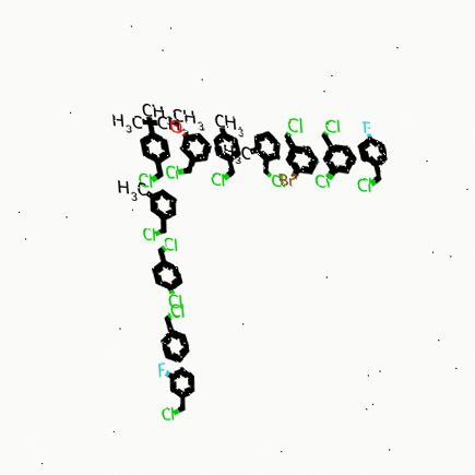 CC(C)(C)c1ccc(CCl)cc1.COc1cccc(CCl)c1.Cc1ccc(CCl)cc1.Cc1cccc(CCl)c1.Cc1ccccc1CCl.ClCc1ccc(Cl)cc1.ClCc1cccc(Br)c1.ClCc1cccc(Cl)c1.ClCc1ccccc1.Fc1ccc(CCl)cc1.Fc1cccc(CCl)c1